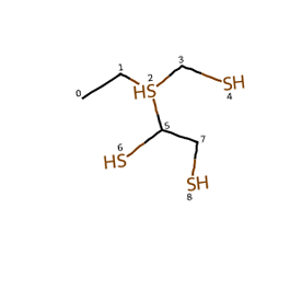 CC[SH](CS)C(S)CS